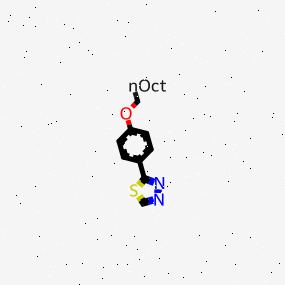 CCCCCCCCCOc1ccc(-c2nncs2)cc1